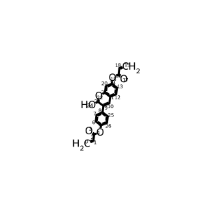 C=CC(=O)Oc1ccc(C2=Cc3ccc(OC(=O)C=C)cc3OC2O)cc1